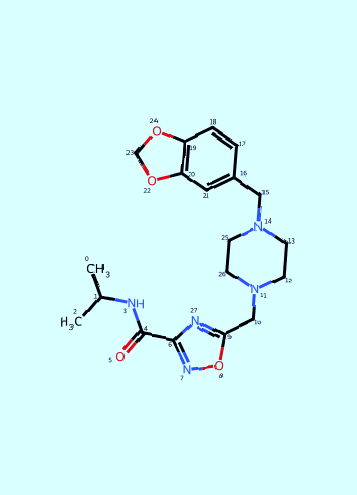 CC(C)NC(=O)c1noc(CN2CCN(Cc3ccc4c(c3)OCO4)CC2)n1